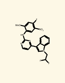 COc1cc(F)c([N+](=O)[O-])cc1Nc1nccc(-c2cn(CC(F)F)c3ccccc23)n1